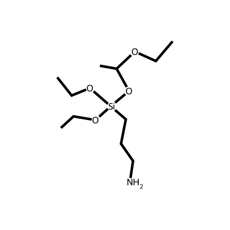 CCOC(C)O[Si](CCCN)(OCC)OCC